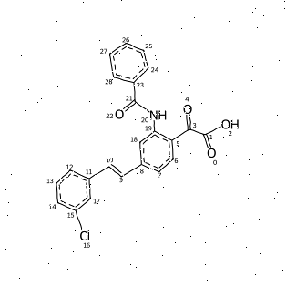 O=C(O)C(=O)c1ccc(/C=C/c2cccc(Cl)c2)cc1NC(=O)c1ccccc1